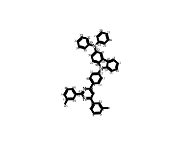 Cc1cccc(-c2cc(-c3ccc(-n4c5ccccc5c5cc(N(c6ccccc6)c6ccccc6)ccc54)cc3)nc(-c3cccc(C)c3)n2)c1